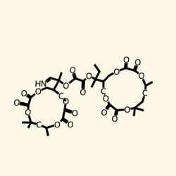 CCC(C)(OC(=O)C(=O)OC(C)(C=N)C1COC(=O)C(=O)OC(C)CC(C)(C)OC(=O)C(=O)OC1)C1COC(=O)C(=O)OC(C)CCC(C)(C)OC(=O)C(=O)OC1